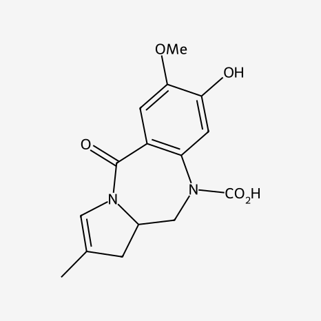 COc1cc2c(cc1O)N(C(=O)O)CC1CC(C)=CN1C2=O